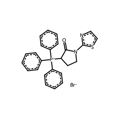 O=C1C([P+](c2ccccc2)(c2ccccc2)c2ccccc2)CCN1c1nccs1.[Br-]